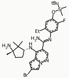 CCc1cc(O[Si](C)(C)C(C)(C)C)c(F)cc1/N=C(\N)c1cnn2cc(Br)cc2c1N[C@@H]1CC[C@](C)(N)C1(C)C